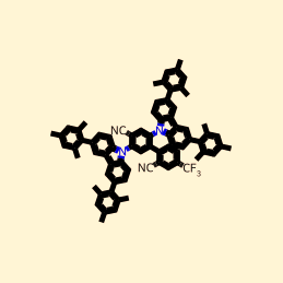 Cc1cc(C)c(-c2ccc3c(c2)c2cc(-c4c(C)cc(C)cc4C)ccc2n3-c2cc(-c3ccc(C(F)(F)F)cc3C#N)c(-n3c4ccc(-c5c(C)cc(C)cc5C)cc4c4cc(-c5c(C)cc(C)cc5C)ccc43)cc2C#N)c(C)c1